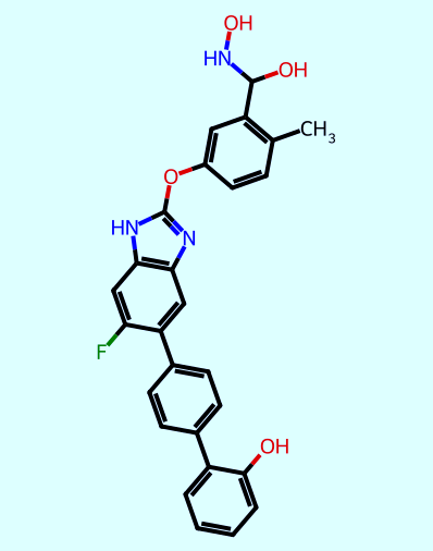 Cc1ccc(Oc2nc3cc(-c4ccc(-c5ccccc5O)cc4)c(F)cc3[nH]2)cc1C(O)NO